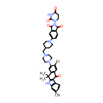 CCc1cc2c(cc1N1CCN(CC3CCN(c4ccc5c(c4)C(=O)N(N4CCC(=O)NC4=O)C5=O)CC3)CC1)C(C)(C)c1[nH]c3cc(C#N)ccc3c1C2=O